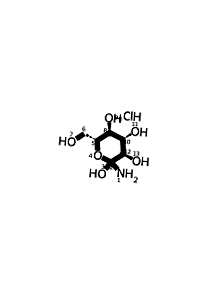 Cl.NC1(O)O[C@H](CO)[C@@H](O)[C@H](O)[C@H]1O